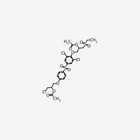 CCS(=O)(=O)CC(COc1c(Cl)cc(S(=O)(=O)c2ccc(OCC(CCl)OC(C)=O)cc2)cc1Cl)OC(C)=O